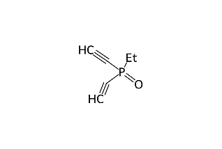 C#CP(=O)(C#C)CC